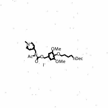 CCCCCCCCCCCCCCOc1c(OC)cc(COC(=O)N(Cc2cc[n+](C)cc2)C(C)=O)cc1OC.[I-]